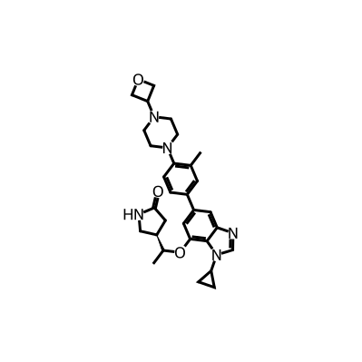 Cc1cc(-c2cc(OC(C)[C@H]3CNC(=O)C3)c3c(c2)ncn3C2CC2)ccc1N1CCN(C2COC2)CC1